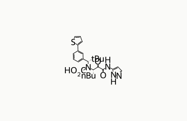 CCCC[C@@H](C(=O)C(=O)Nc1ccn[nH]1)N(C(=O)O)[C@H](c1cccc(-c2cccs2)c1)C(C)(C)C